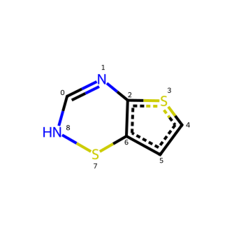 C1=Nc2sccc2SN1